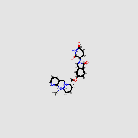 CNc1ncccc1CN1CCCC[C@@H]1COc1ccc2c(c1)CN(C1CCC(=O)NC1=O)C2=O